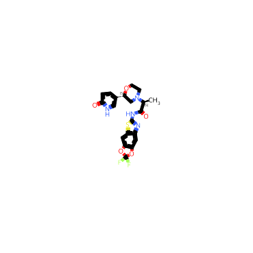 C[C@@H](C(=O)Nc1nc2cc3c(cc2s1)OC(F)(F)O3)N1CCO[C@@H](c2ccc(=O)[nH]c2)C1